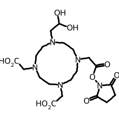 O=C(O)CN1CCN(CC(=O)O)CCN(CC(O)O)CCN(CC(=O)ON2C(=O)CCC2=O)CC1